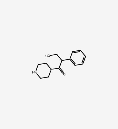 O=C(C(CO)c1ccccc1)N1CCNCC1